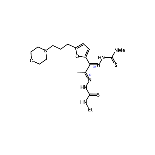 CCNC(=S)N/N=C(C)/C(=N/NC(=S)NC)c1ccc(CCCN2CCOCC2)o1